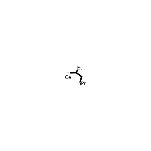 [CH2]C(CC)CCCC.[Ce]